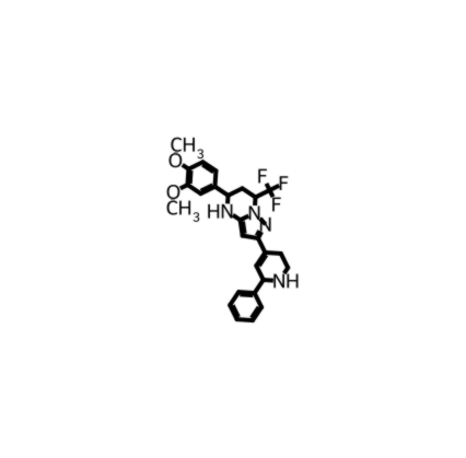 COc1ccc(C2CC(C(F)(F)F)n3nc(C4=CC(c5ccccc5)NCC4)cc3N2)cc1OC